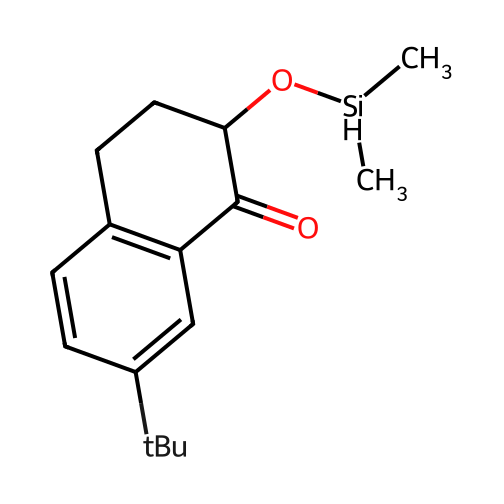 C[SiH](C)OC1CCc2ccc(C(C)(C)C)cc2C1=O